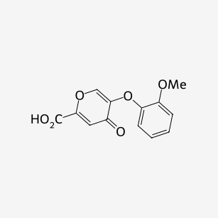 COc1ccccc1Oc1coc(C(=O)O)cc1=O